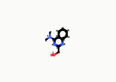 CN(C)c1nc(CO)nc2ccccc12